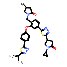 CC(C)c1nnc(-c2ccc(Oc3cc(-c4nnc(C5CC(=O)N(C6CC6)C5)s4)ccc3CN3C[C@@H](C)CC3=O)cc2)s1